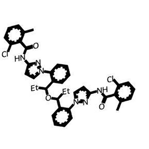 CCC(OC(CC)c1ccccc1-n1ccc(NC(=O)c2c(C)cccc2Cl)n1)c1ccccc1-n1ccc(NC(=O)c2c(C)cccc2Cl)n1